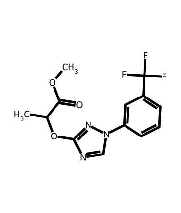 COC(=O)C(C)Oc1ncn(-c2cccc(C(F)(F)F)c2)n1